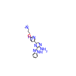 C=C(/C=C\C(=C/N)c1cnc(N)c(-c2nc3ccccc3[nH]2)n1)OCCCN(C)C